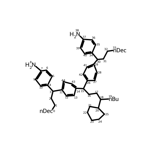 CCCCCCCCCCCCC(c1ccc(N)cc1)c1ccc(C(CCC(CCCC)C2CCCCC2)c2ccc(C(CCCCCCCCCCCC)c3ccc(N)cc3)cc2)cc1